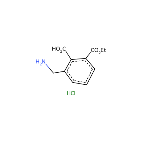 CCOC(=O)c1cccc(CN)c1C(=O)O.Cl